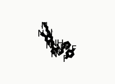 CN(C)CCN(C)c1cc2[nH]c(-c3cnn4ccc(N5CCC[C@@H]5c5cc(F)ccc5F)nc34)nc2cc1C#N